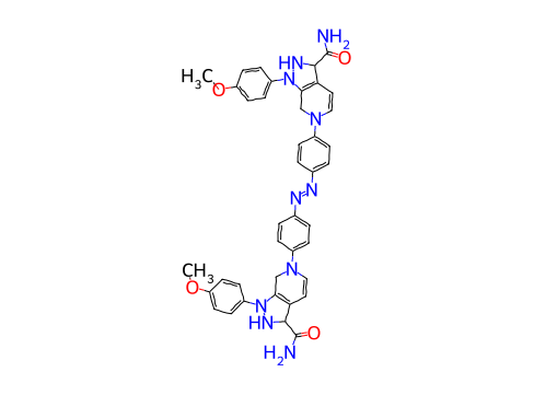 COc1ccc(N2NC(C(N)=O)C3=C2CN(c2ccc(N=Nc4ccc(N5C=CC6=C(C5)N(c5ccc(OC)cc5)NC6C(N)=O)cc4)cc2)C=C3)cc1